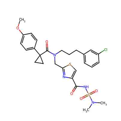 COc1ccc(C2(C(=O)N(CCCc3cccc(Cl)c3)Cc3nc(C(=O)NS(=O)(=O)N(C)C)cs3)CC2)cc1